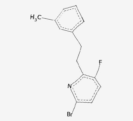 Cc1cccc(CCc2nc(Br)ccc2F)c1